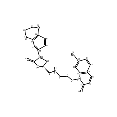 O=C1O[C@H](CNCCCn2c(=O)ccc3ccc(Br)cc32)CN1c1ccc2c(c1)OCCO2